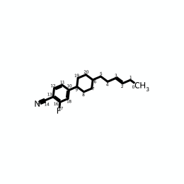 CCC=CCCC1CCC(c2ccc(C#N)c(F)c2)CC1